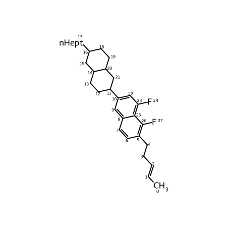 CC=CCCc1ccc2cc(C3CCC4CC(CCCCCCC)CCC4C3)cc(F)c2c1F